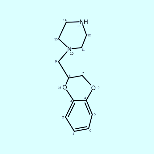 c1ccc2c(c1)OCC(CN1CCNCC1)O2